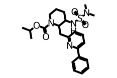 CC(C)OC(=O)N1CCCC(NS(=O)(=O)N(C)C)C1Cc1cccc(-c2ccccc2)n1